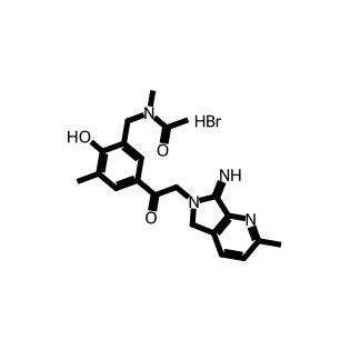 Br.CC(=O)N(C)Cc1cc(C(=O)CN2Cc3ccc(C)nc3C2=N)cc(C)c1O